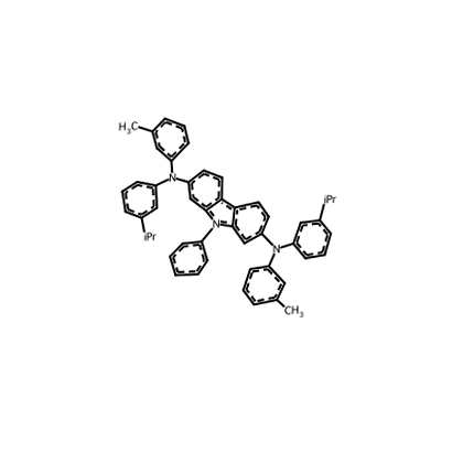 Cc1cccc(N(c2cccc(C(C)C)c2)c2ccc3c4ccc(N(c5cccc(C)c5)c5cccc(C(C)C)c5)cc4n(-c4ccccc4)c3c2)c1